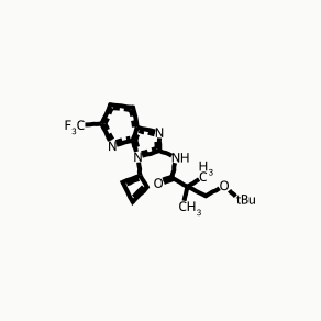 CC(C)(C)OCC(C)(C)C(=O)Nc1nc2ccc(C(F)(F)F)nc2n1C1=CC=C1